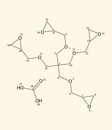 C(OCC(COCC1CO1)(COCC1CO1)COCC1CO1)C1CO1.O=C(O)O